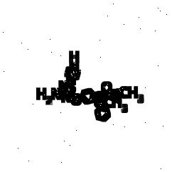 CCOC(=O)C(C)(Cc1ccc(Oc2cc(N3CCNCC3)nc(N)n2)cc1)Oc1ccccc1